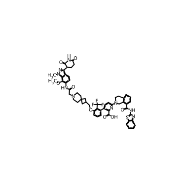 COc1c(NC(=O)CN2CCC3(CC2)CC(COc2cccc(-c4ccc(N5CCc6cccc(C(=O)Nc7nc8ccccc8s7)c6C5)nc4C(=O)O)c2C(F)(F)F)C3)ccc2c(C3CCC(=O)NC3=O)nn(C)c12